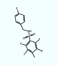 Cc1c(F)c(F)c(S(=O)(=O)NCc2ccc(F)cc2)c(F)c1F